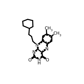 Cc1cc2nc3c(=O)[nH]c(=O)nc-3n(CCCC3CCCCC3)c2cc1C